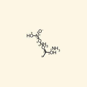 CC(=O)O.N.N.O=[N+]([O-])O